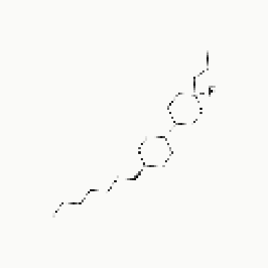 CCCCCCC[C@H]1CC[C@H](C2CCC(F)(CCC)CC2)CC1